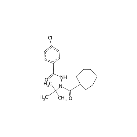 CC(C)(C)N(NC(=O)c1ccc(Cl)cc1)C(=O)C1CCCCCC1